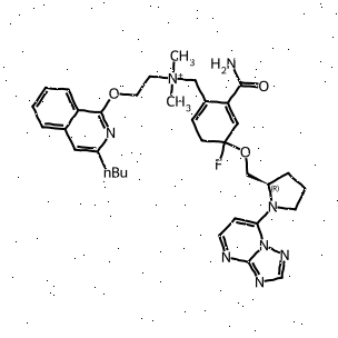 CCCCc1cc2ccccc2c(OCC[N+](C)(C)CC2=CCC(F)(OC[C@H]3CCCN3c3ccnc4ncnn34)C=C2C(N)=O)n1